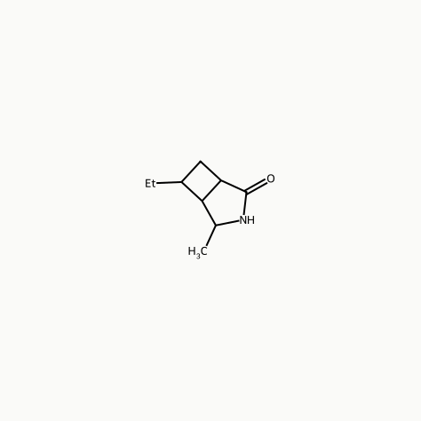 CCC1CC2C(=O)NC(C)C12